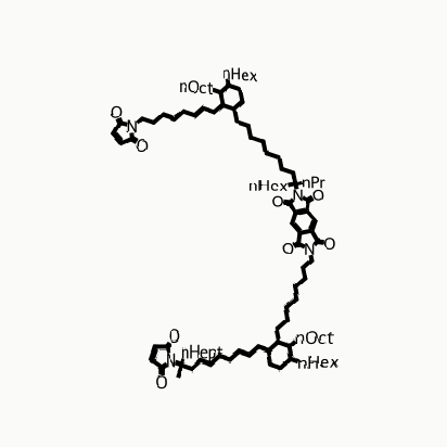 CCCCCCCCC1C(CCCCCC)CCC(CCCCCCCCC(CCC)(CCCCCC)n2c(=O)c3cc4c(=O)n(CCCCCCCCC5C(CCCCCCCCC(C)(CCCCCCC)N6C(=O)C=CC6=O)CCC(CCCCCC)C5CCCCCCCC)c(=O)c4cc3c2=O)C1CCCCCCCCN1C(=O)C=CC1=O